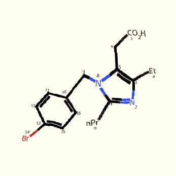 CCCc1nc(CC)c(CC(=O)O)n1Cc1ccc(Br)cc1